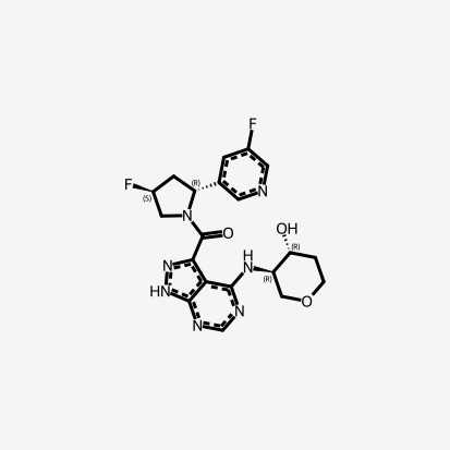 O=C(c1n[nH]c2ncnc(N[C@@H]3COCC[C@H]3O)c12)N1C[C@@H](F)C[C@@H]1c1cncc(F)c1